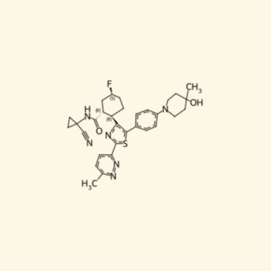 Cc1ccc(-c2nc([C@@H]3CC[C@H](F)C[C@H]3C(=O)NC3(C#N)CC3)c(-c3ccc(N4CCC(C)(O)CC4)cc3)s2)nn1